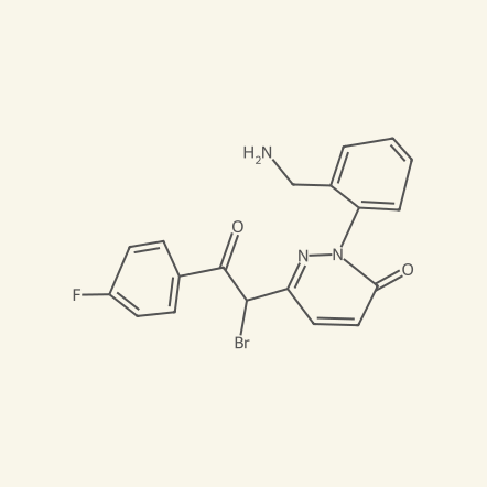 NCc1ccccc1-n1nc(C(Br)C(=O)c2ccc(F)cc2)ccc1=O